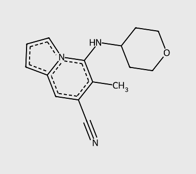 Cc1c(C#N)cc2cccn2c1NC1CCOCC1